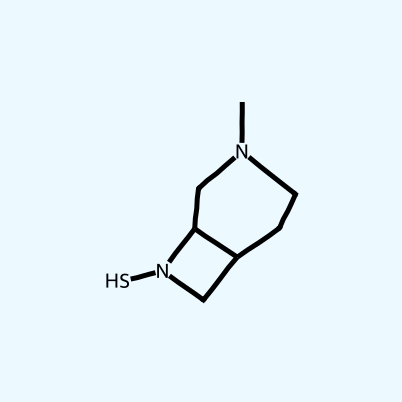 CN1CCC2CN(S)C2C1